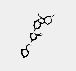 CN1CCc2c(n(C)c3ccc(-n4ccc(OCc5ccccc5)cc4=O)cc23)C1